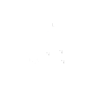 CC/C=C/CC1CC(C(=O)O)N(Cc2nccn2Cc2ccccc2)C1